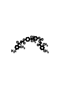 Cc1ccc(C(=O)OOC(=O)OC2CCC(C(C)(C)C3CCC(OC(=O)OOC(=O)c4ccc(C)cc4C)CC3)CC2)c(C)c1